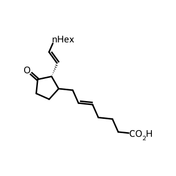 CCCCCC/C=C/[C@H]1C(=O)CCC1C/C=C/CCCC(=O)O